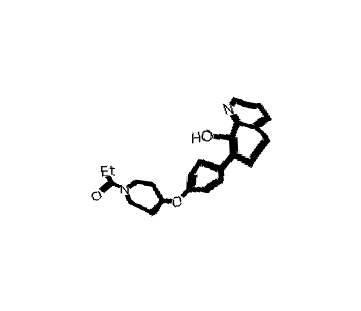 CCC(=O)N1CCC(Oc2ccc(-c3ccc4cccnc4c3O)cc2)CC1